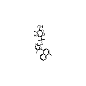 Cc1ccc(-n2c(C)cnc2SC(C)(C)C(=O)NC(C)C(=O)O)c2ccccc12